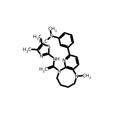 C=C(Nc1nc(C)c(C)s1)N1CCCCN(C)c2ccc(-c3cccc(N(C)C)c3)nc21